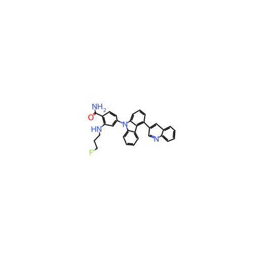 NC(=O)c1ccc(-n2c3ccccc3c3c(-c4cnc5ccccc5c4)cccc32)cc1NCCCF